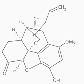 C=CC[N@@+]1(C)CC[C@]23c4c5c(OC)cc(O)c4O[C@H]2C(=O)CC[C@H]3[C@H]1C5